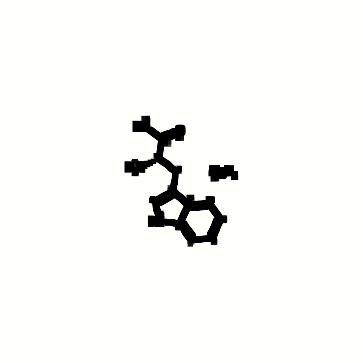 N[C@@H](Cc1c[nH]c2ccccc12)C(=O)O.[MgH2]